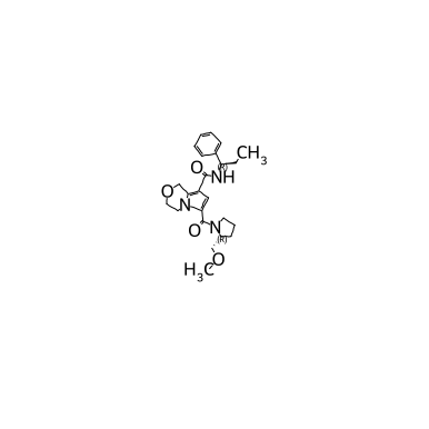 CC[C@@H](NC(=O)c1cc(C(=O)N2CCC[C@@H]2COC)n2c1COCC2)c1ccccc1